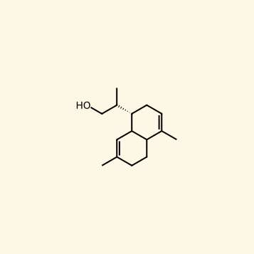 CC1=CC2C(CC1)C(C)=CC[C@H]2C(C)CO